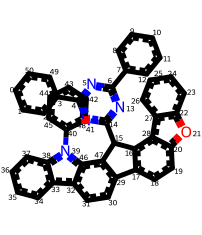 c1ccc(-c2nc(-c3ccccc3)nc(C3c4c(ccc5oc6ccccc6c45)-c4ccc5c6ccccc6n(-c6ccccc6)c5c43)n2)cc1